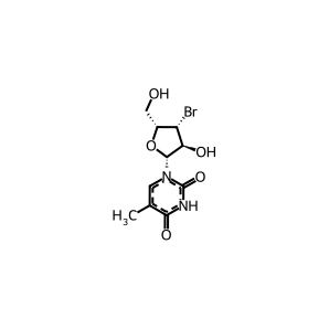 Cc1cn([C@@H]2O[C@H](CO)[C@H](Br)[C@H]2O)c(=O)[nH]c1=O